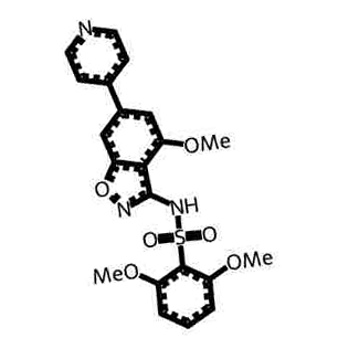 COc1cccc(OC)c1S(=O)(=O)Nc1noc2cc(-c3ccncc3)cc(OC)c12